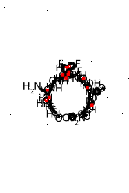 COc1ccc(C[C@@H]2NC(=O)[C@H]([C@@H](C)O)NC(=O)[C@@H]3C[C@H](F)CN3C(=O)[C@H](Cc3c[nH]c4ccc(F)cc34)NC(=O)[C@H](Cc3c[nH]c4ccc(F)cc34)NC(=O)[C@@H](C)NC(=O)C(CCCCN)NC(=O)[C@@H](NC(C)=O)CCCNC(=O)COc3ccc(cc3)C[C@@H](C(N)=O)NC(=O)[C@]3(C)CCCN3C2=O)cc1